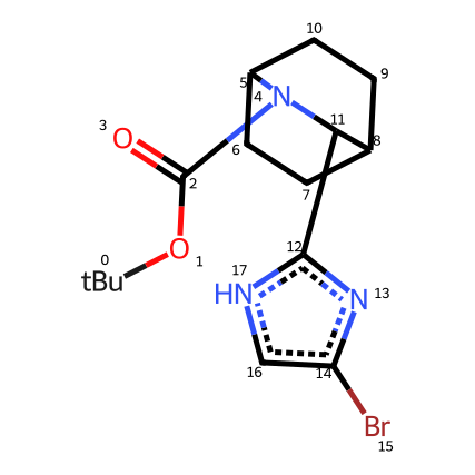 CC(C)(C)OC(=O)N1C2CCC(CC2)C1c1nc(Br)c[nH]1